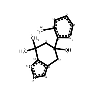 CC1(C)CC(O)(c2ncccc2C(F)(F)F)Cc2cnoc21